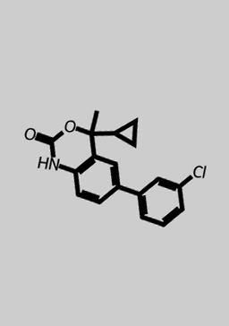 CC1(C2CC2)OC(=O)Nc2ccc(-c3cccc(Cl)c3)cc21